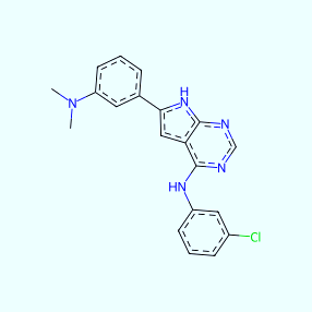 CN(C)c1cccc(-c2cc3c(Nc4cccc(Cl)c4)ncnc3[nH]2)c1